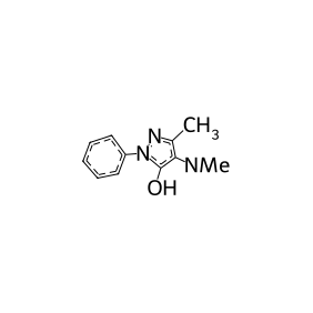 CNc1c(C)nn(-c2ccccc2)c1O